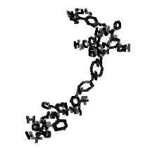 Cc1ncsc1-c1ccc(CNC(=O)[C@H]2C[C@@H](O)CN2C(=O)C(NC(=O)CN2CCN(C3CCN(c4ccc(Nc5ncc(Cl)c(Nc6ccccc6N(C)S(C)(=O)=O)n5)cc4F)CC3)CC2)C(C)(C)C)cc1